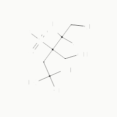 CCC(C)(C)C(CO)(CC(C)(C)C)S(=O)(=O)O